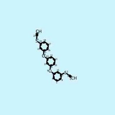 C#CSc1cccc(Oc2cccc(Oc3cccc(SC#C)c3)c2)c1